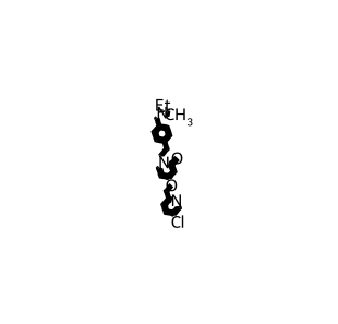 CCN(C)Cc1ccc(CCn2ccc(OCc3ccc(Cl)cn3)cc2=O)cc1